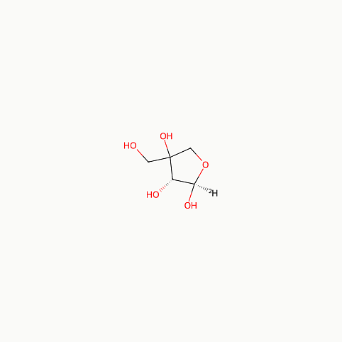 [2H][C@@]1(O)OCC(O)(CO)[C@H]1O